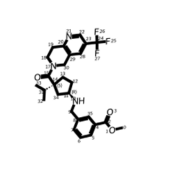 COC(=O)c1cccc(CN[C@@H]2CC[C@@](C(=O)N3CCc4ncc(C(F)(F)F)cc4C3)(C(C)C)C2)c1